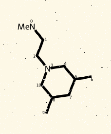 CNCCN1CC(C)CC(C)C1